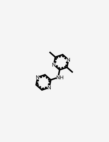 Cc1cnc(C)c(Nc2cnccn2)n1